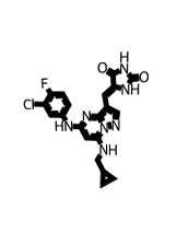 O=C1NC(=O)C(=Cc2cnn3c(NCC4CC4)cc(Nc4ccc(F)c(Cl)c4)nc23)N1